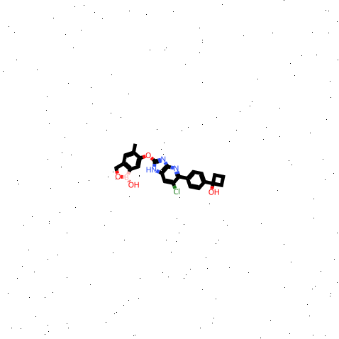 Cc1cc2c(cc1Oc1nc3nc(-c4ccc(C5(O)CCC5)cc4)c(Cl)cc3[nH]1)B(O)OC2